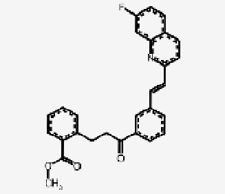 COC(=O)c1ccccc1CCC(=O)c1cccc(C=Cc2ccc3ccc(F)cc3n2)c1